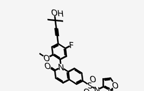 COc1cc(C#CC(C)(C)O)c(F)cc1-n1c(=O)ccc2cc(S(=O)(=O)Nc3ccon3)ccc21